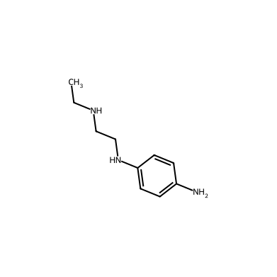 CCNCCNc1ccc(N)cc1